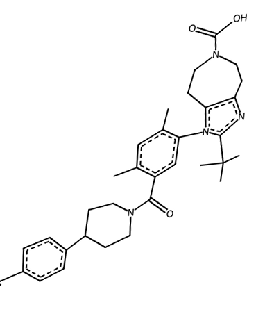 Cc1cc(C)c(-n2c(C(C)(C)C)nc3c2CCN(C(=O)O)CC3)cc1C(=O)N1CCC(c2ccc(C#N)cc2)CC1